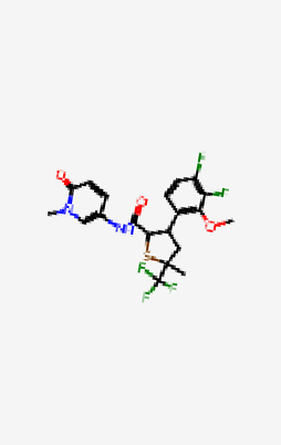 COc1c(C2CC(C)(C(F)(F)F)SC2C(=O)Nc2ccc(=O)n(C)c2)ccc(F)c1F